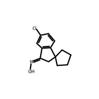 O/N=C1\CC2(CCCC2)c2ccc(Cl)cc21